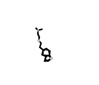 CN(C)CCOCCc1ccc2occc2c1